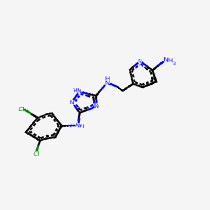 Nc1ccc(CNc2nc(Nc3cc(Cl)cc(Cl)c3)n[nH]2)cn1